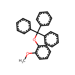 COc1ccccc1OC(c1ccccc1)(c1ccccc1)c1ccccc1